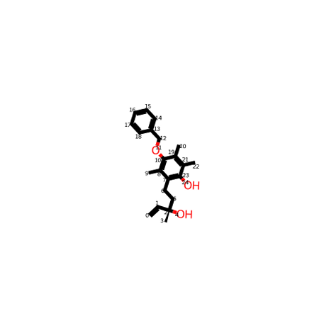 C=C[C@@](C)(O)CCc1c(C)c(OCc2ccccc2)c(C)c(C)c1O